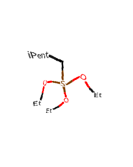 CCCC(C)CS(OCC)(OCC)OCC